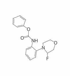 O=C(Nc1ccccc1N1CCOCC1F)Oc1ccccc1